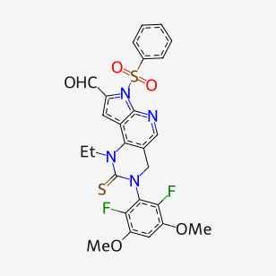 CCN1C(=S)N(c2c(F)c(OC)cc(OC)c2F)Cc2cnc3c(cc(C=O)n3S(=O)(=O)c3ccccc3)c21